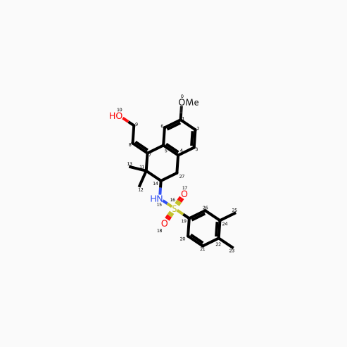 COc1ccc2c(c1)/C(=C\CO)C(C)(C)C(NS(=O)(=O)c1ccc(C)c(C)c1)C2